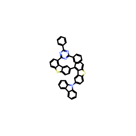 c1ccc(-c2nc(-c3ccccc3)nc(-c3cccc4sc5ccc(-c6cccc7sc8ccc(-n9c%10ccccc%10c%10ccccc%109)cc8c67)cc5c34)n2)cc1